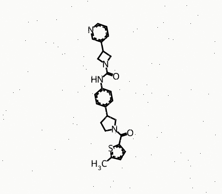 Cc1ccc(C(=O)N2CCC(c3ccc(NC(=O)N4CC(c5cccnc5)C4)cc3)C2)s1